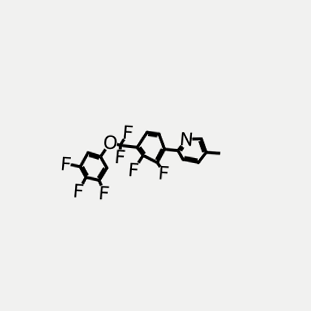 Cc1ccc(-c2ccc(C(F)(F)Oc3cc(F)c(F)c(F)c3)c(F)c2F)nc1